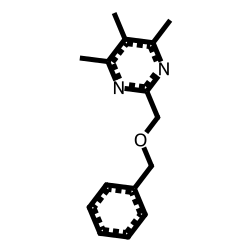 Cc1nc(COCc2ccccc2)nc(C)c1C